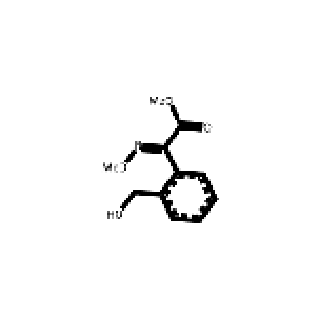 CO/N=C(/C(=O)OC)c1ccccc1CO